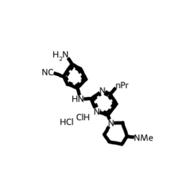 CCCc1cc(N2CCCC(NC)C2)nc(Nc2ccc(N)c(C#N)c2)n1.Cl.Cl